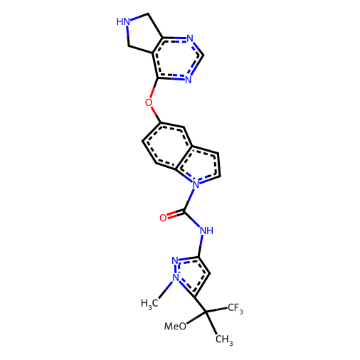 COC(C)(c1cc(NC(=O)n2ccc3cc(Oc4ncnc5c4CNC5)ccc32)nn1C)C(F)(F)F